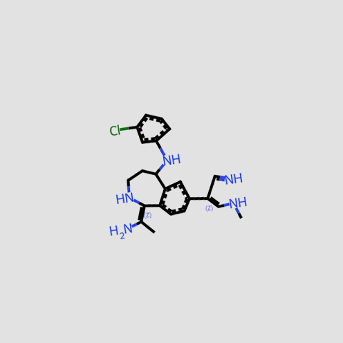 CN/C=C(\C=N)c1ccc2c(c1)C(Nc1cccc(Cl)c1)CCN/C2=C(/C)N